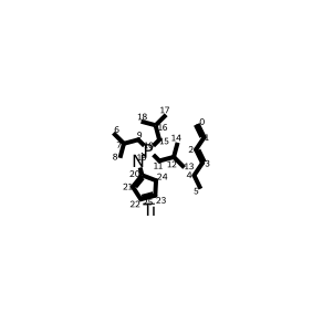 C=CC=CCC.CC(C)CP(CC(C)C)(CC(C)C)=NC1=CC=CC1.[Ti]